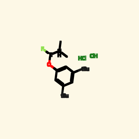 C[SiH](C)[Ti]([F])[O]c1cc(C(C)(C)C)cc(C(C)(C)C)c1.Cl.Cl